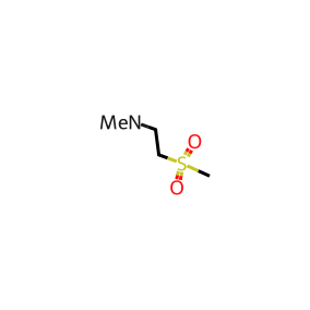 CNCCS(C)(=O)=O